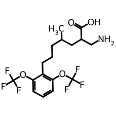 CC(CCCc1c(OC(F)(F)F)cccc1OC(F)(F)F)CC(CN)C(=O)O